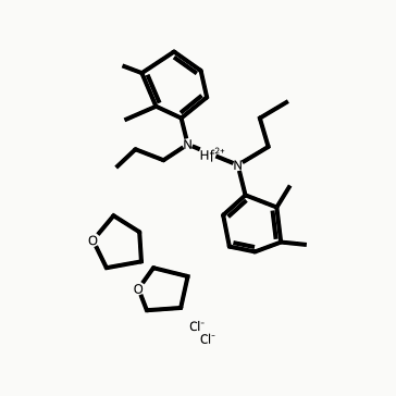 C1CCOC1.C1CCOC1.CCC[N]([Hf+2][N](CCC)c1cccc(C)c1C)c1cccc(C)c1C.[Cl-].[Cl-]